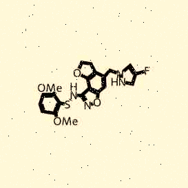 COc1cccc(OC)c1SNc1noc2cc(CN3C=C(F)CN3)c3c(c12)OCC3